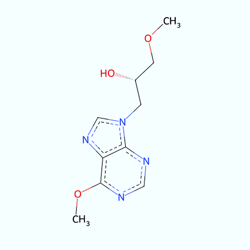 COC[C@@H](O)Cn1cnc2c(OC)ncnc21